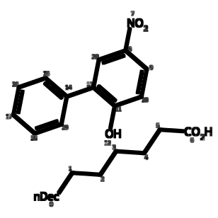 CCCCCCCCCCCCCCCC(=O)O.O=[N+]([O-])c1ccc(O)c(-c2ccccc2)c1